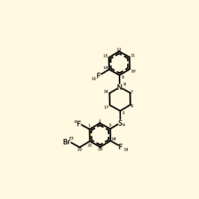 Fc1cc(SC2CCN(c3ccccc3F)CC2)c(F)cc1CBr